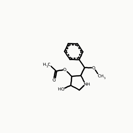 COC(c1ccccc1)C1NCC(O)C1OC(C)=O